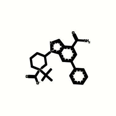 CC(C)(C)[N+]1(C(=O)[O-])CCCC(n2ncc3c(C(N)=O)cc(-c4ccccc4)cc32)C1